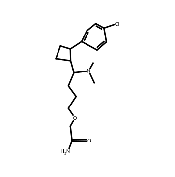 CN(C)C(CCCOCC(N)=O)C1CCC1c1ccc(Cl)cc1